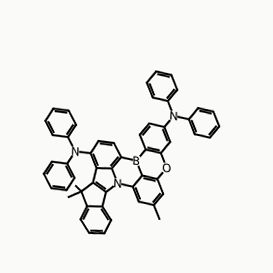 Cc1cc2c3c(c1)-n1c4c(c5c(N(c6ccccc6)c6ccccc6)ccc(c51)B3c1ccc(N(c3ccccc3)c3ccccc3)cc1O2)C(C)(C)c1ccccc1-4